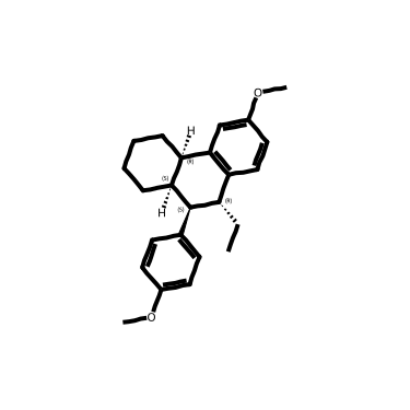 CC[C@H]1c2ccc(OC)cc2[C@@H]2CCCC[C@@H]2[C@@H]1c1ccc(OC)cc1